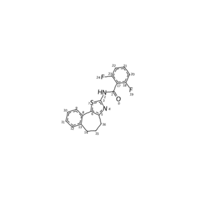 O=C(Nc1nc2c(s1)-c1ccccc1CCC2)c1c(F)cccc1F